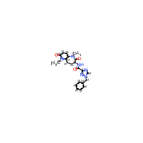 CN1C(=O)C(NC(=O)c2ncn(Cc3ccccc3)n2)CCc2c1ccc(=O)n2C